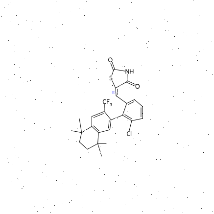 CC1(C)CCC(C)(C)c2cc(C(F)(F)F)c(-c3c(Cl)cccc3/C=C3/SC(=O)NC3=O)cc21